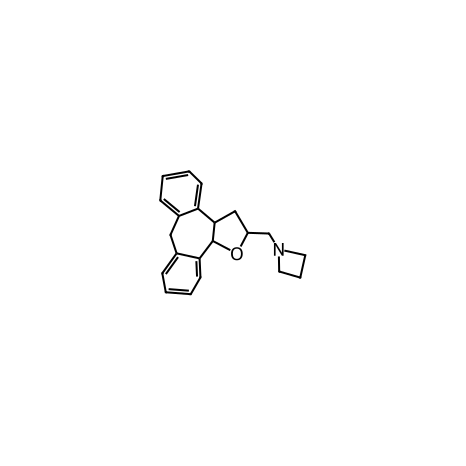 c1ccc2c(c1)Cc1ccccc1C1OC(CN3CCC3)CC21